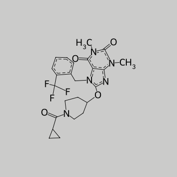 Cn1c(=O)c2c(nc(OC3CCN(C(=O)C4CC4)CC3)n2Cc2ccccc2C(F)(F)F)n(C)c1=O